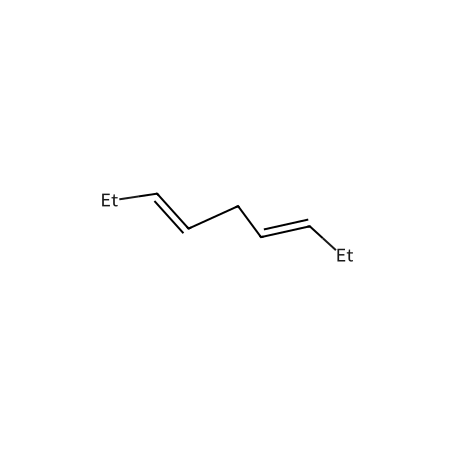 [CH2]CC=CCC=CC[CH2]